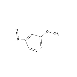 COc1cccc(N=[N])c1